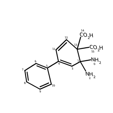 NC1(N)C=C(c2ccccc2)C=CC1(C(=O)O)C(=O)O